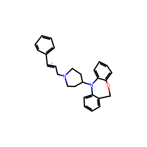 C(=C\c1ccccc1)/CN1CCC(N2c3ccccc3COc3ccccc32)CC1